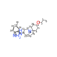 CCCO[C@H]1CC[C@](CC)(N2CCC(Nc3cc(C)ccc3N)CC2)CC1